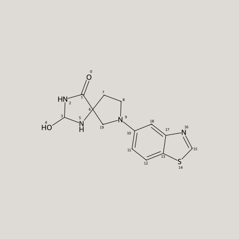 O=C1NC(O)NC12CCN(c1ccc3scnc3c1)C2